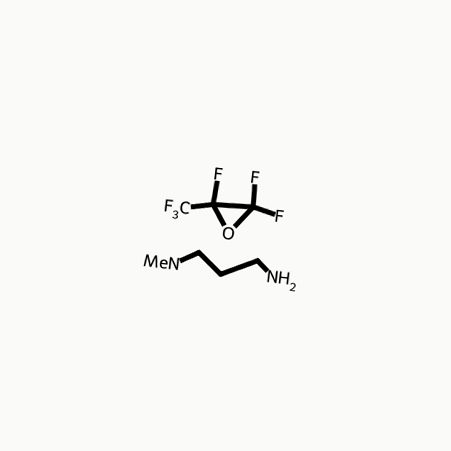 CNCCCN.FC(F)(F)C1(F)OC1(F)F